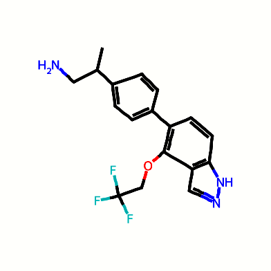 CC(CN)c1ccc(-c2ccc3[nH]ncc3c2OCC(F)(F)F)cc1